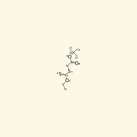 CCOC(=S)SCC(=O)OC(C)(C)C